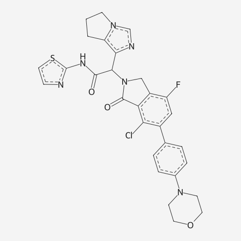 O=C(Nc1nccs1)C(c1ncn2c1CCC2)N1Cc2c(F)cc(-c3ccc(N4CCOCC4)cc3)c(Cl)c2C1=O